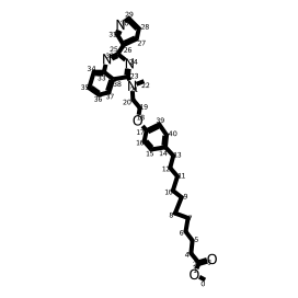 COC(=O)CCCCCCCCCCc1ccc(OCCN(C)c2nc(-c3cccnc3)nc3ccccc23)cc1